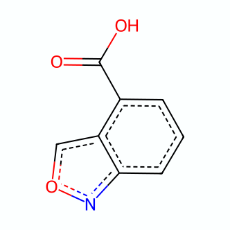 O=C(O)c1cccc2nocc12